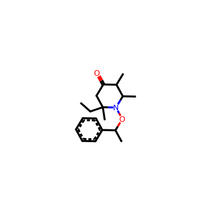 CCC1(C)CC(=O)C(C)C(C)N1OC(C)c1ccccc1